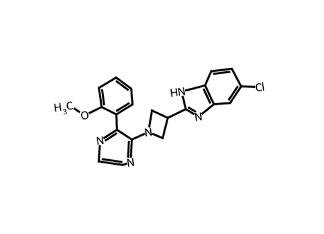 COc1ccccc1-c1nccnc1N1CC(c2nc3cc(Cl)ccc3[nH]2)C1